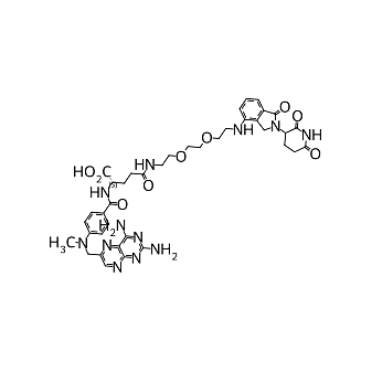 CN(Cc1cnc2nc(N)nc(N)c2n1)c1ccc(C(=O)N[C@@H](CCC(=O)NCCOCCOCCNc2cccc3c2CN(C2CCC(=O)NC2=O)C3=O)C(=O)O)cc1